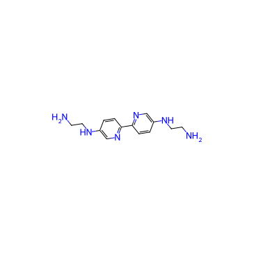 NCCNc1ccc(-c2ccc(NCCN)cn2)nc1